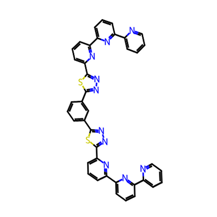 c1ccc(-c2cccc(-c3cccc(-c4nnc(-c5cccc(-c6nnc(-c7cccc(-c8cccc(-c9ccccn9)n8)n7)s6)c5)s4)n3)n2)nc1